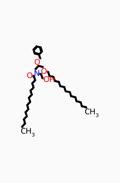 CCCCCCCCCCCCCCCCOCC(CN(CCO)C(=O)CCCCCCCCCCCCCCC)OCc1ccccc1